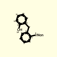 CCCCCCCCCc1ccccc1Cc1ccccc1O